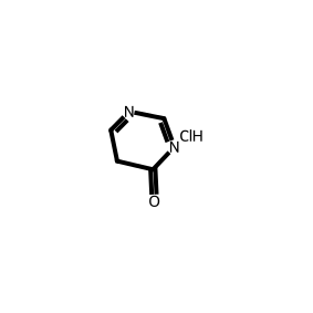 Cl.O=C1CC=NC=N1